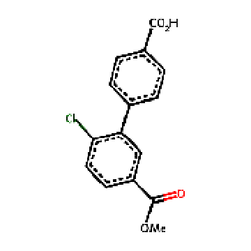 COC(=O)c1ccc(Cl)c(-c2ccc(C(=O)O)cc2)c1